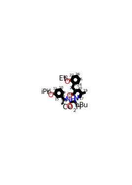 CCCCC(C(=O)N[C@@H](CC(=O)O)c1cccc(OC(C)C)c1)n1cc(C)cc(Cc2ccccc2OCC)c1=O